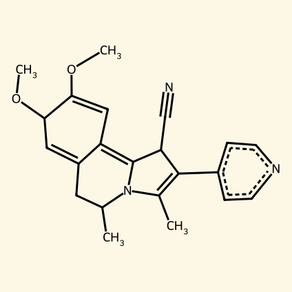 COC1=CC2=C3C(C#N)C(c4ccncc4)=C(C)N3C(C)CC2=CC1OC